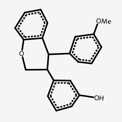 COc1cccc(C2c3ccccc3OCC2c2cccc(O)c2)c1